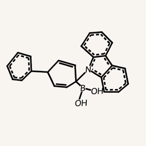 OB(O)C1(n2c3ccccc3c3ccccc32)C=CC(c2ccccc2)C=C1